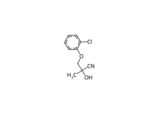 CC(O)(C#N)COc1ccccc1Cl